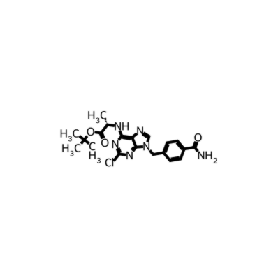 C[C@H](Nc1nc(Cl)nc2c1ncn2Cc1ccc(C(N)=O)cc1)C(=O)OC(C)(C)C